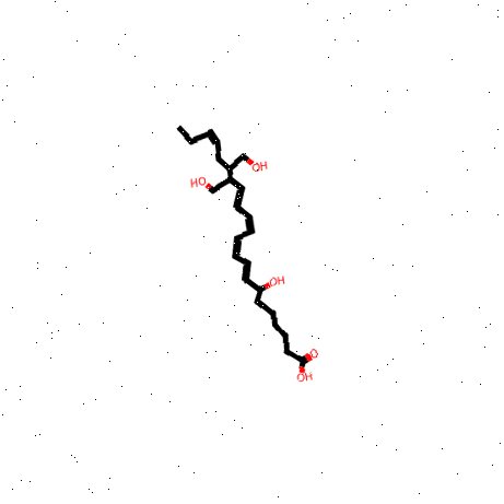 CC/C=C\CC(CO)C(/C=C/C=C\C=C/C=C/C(O)CCCCCC(=O)O)CO